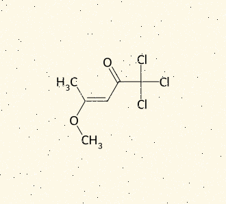 COC(C)=CC(=O)C(Cl)(Cl)Cl